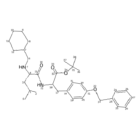 CC(C)CC(NCC1CCCCC1)C(=O)NC(Cc1ccc(OCc2ccccc2)cc1)C(=O)OC(C)(C)C